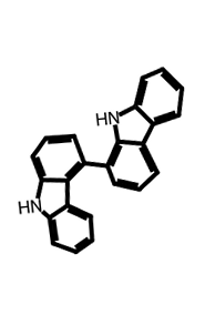 c1ccc2c(c1)[nH]c1c(-c3cccc4[nH]c5ccccc5c34)cccc12